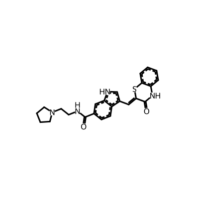 O=C1Nc2ccccc2S/C1=C\c1c[nH]c2cc(C(=O)NCCN3CCCC3)ccc12